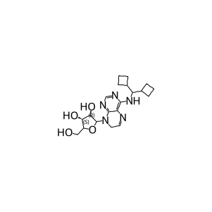 OCC1OC(N2CC=Nc3c(NC(C4CCC4)C4CCC4)ncnc32)[C@H](O)[C@@H]1O